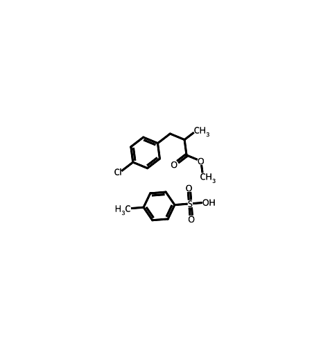 COC(=O)C(C)Cc1ccc(Cl)cc1.Cc1ccc(S(=O)(=O)O)cc1